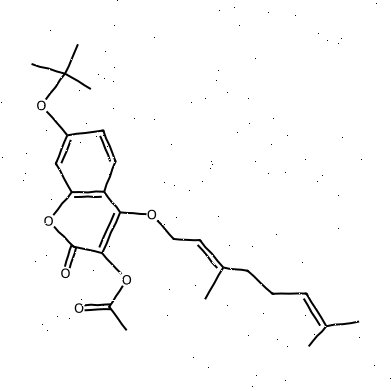 CC(=O)Oc1c(OC/C=C(\C)CCC=C(C)C)c2ccc(OC(C)(C)C)cc2oc1=O